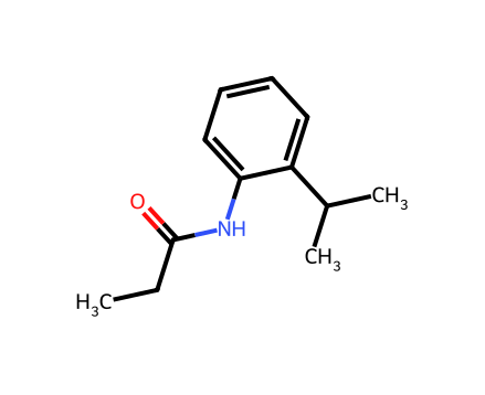 CCC(=O)Nc1ccccc1C(C)C